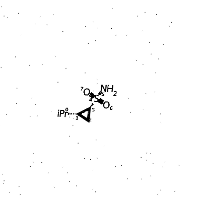 CC(C)[C@H]1C[C@H]1S(N)(=O)=O